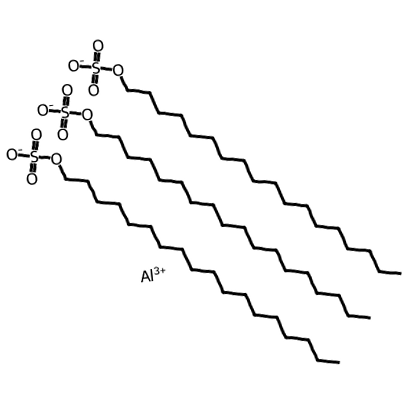 CCCCCCCCCCCCCCCCCCOS(=O)(=O)[O-].CCCCCCCCCCCCCCCCCCOS(=O)(=O)[O-].CCCCCCCCCCCCCCCCCCOS(=O)(=O)[O-].[Al+3]